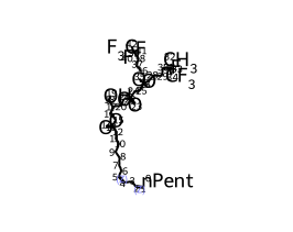 CCCCC/C=C\C/C=C\CCCCCCCC(=O)OCC(CO)COC(=O)CCC(OCCCC(C)(F)C(F)(F)F)OCCCC(F)(F)C(F)(F)F